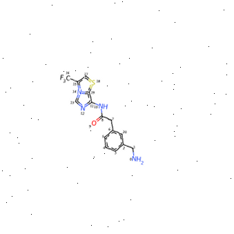 NCc1cccc(CC(=O)Nc2ncn3c(C(F)(F)F)csc23)c1